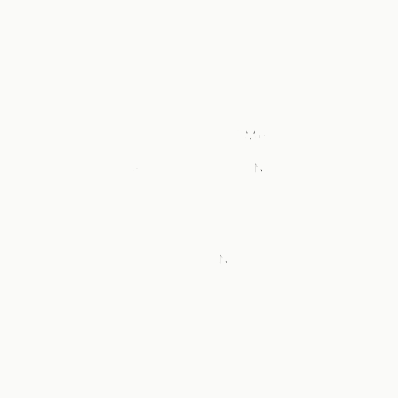 COc1ncc(Cc2ccccn2)cc1-c1cccc(Cl)c1